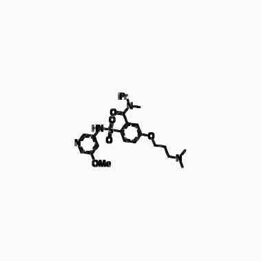 COc1cncc(NS(=O)(=O)c2ccc(OCCCN(C)C)cc2C(=O)N(C)C(C)C)c1